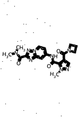 CN(C)C(=O)c1nc2cc(NC(=O)c3c(C(=O)N4CCC4)cnn3C)ccn2n1